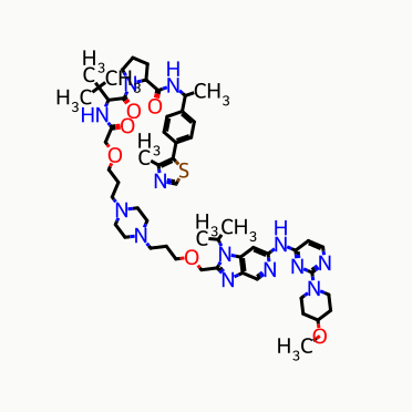 COC1CCN(c2nccc(Nc3cc4c(cn3)nc(COCCCN3CCN(CCCOCC(=O)NC(C(=O)N5CCCC5C(=O)NC(C)c5ccc(-c6scnc6C)cc5)C(C)(C)C)CC3)n4C(C)C)n2)CC1